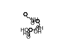 CC(C)(Cc1cccc(C(=O)NCCCc2ccccc2)c1)NC[C@H](O)c1ccc(O)c(NC=O)c1